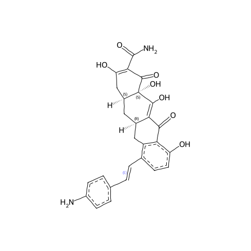 NC(=O)C1=C(O)C[C@@H]2C[C@@H]3Cc4c(/C=C/c5ccc(N)cc5)ccc(O)c4C(=O)C3=C(O)[C@]2(O)C1=O